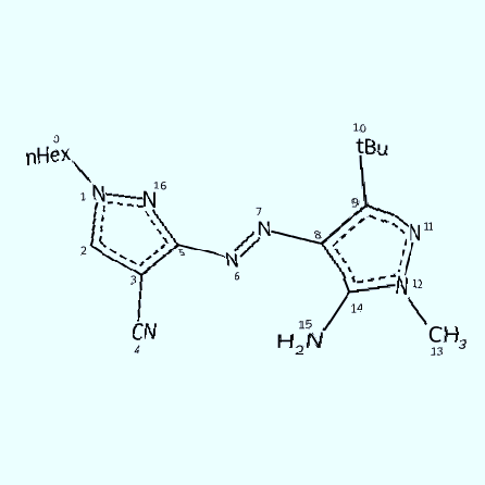 CCCCCCn1cc(C#N)c(N=Nc2c(C(C)(C)C)nn(C)c2N)n1